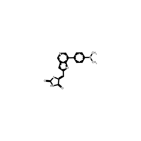 CN(C)c1ccc(-c2cncc3cc(/C=C4\SC(=O)NC4=O)oc23)cc1